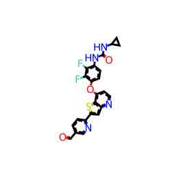 O=Cc1ccc(-c2cc3nccc(Oc4ccc(NC(=O)NC5CC5)c(F)c4F)c3s2)nc1